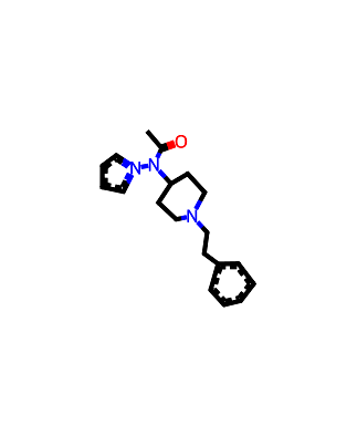 CC(=O)N(C1CCN(CCc2ccccc2)CC1)n1cccc1